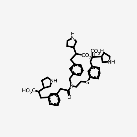 O=C(O)C(Cc1cccc(CC(=O)N(CCSc2cccc(CC(C(=O)O)C3CCNC3)c2)Cc2cccc(CC(C(=O)O)C3CCNC3)c2)c1)C1CCNC1